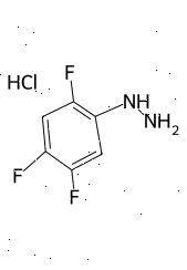 Cl.NNc1cc(F)c(F)cc1F